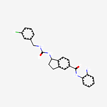 Nc1ccccc1NC(=O)c1ccc2c(c1)CCC2NC(=O)NCc1cccc(Cl)c1